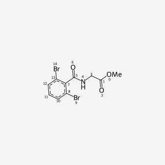 COC(=O)CNC(=O)c1c(Br)cccc1Br